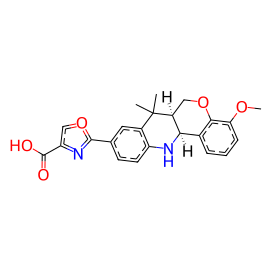 COc1cccc2c1OC[C@H]1[C@@H]2Nc2ccc(-c3nc(C(=O)O)co3)cc2C1(C)C